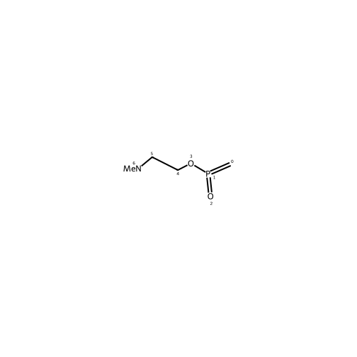 C=P(=O)OCCNC